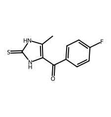 Cc1[nH]c(=S)[nH]c1C(=O)c1ccc(F)cc1